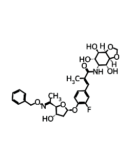 CC(=Cc1ccc(O[C@H]2C[C@H](O)[C@@H](C(C)=NOCc3ccccc3)O2)c(F)c1)C(=O)N[C@@H]1[C@H](O)[C@@H](O)[C@H]2OCO[C@H]2[C@@H]1O